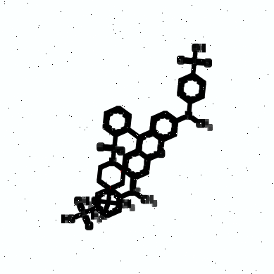 CN(c1ccc(S(=O)(=O)O)cc1)c1ccc2c(-c3ccccc3S(=O)(=O)N3CCC(C(C)(C)C)CC3)c3cc/c(=[N+](/C)c4ccc(S(=O)(=O)O)cc4)cc-3oc2c1